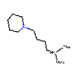 CO[SiH](CCCCN1CCCCC1)OC